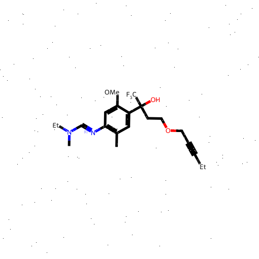 CCC#CCOCCC(O)(c1cc(C)c(/N=C/N(C)CC)cc1OC)C(F)(F)F